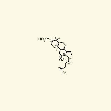 C=C(CC[C@@H](C)[C@H]1CC=C2C3=C(C[C@H](OC(C)=O)[C@@]21C)[C@@]1(C)CC[C@H](OS(=O)(=O)O)C(C)(C)C1CC3)C(C)C